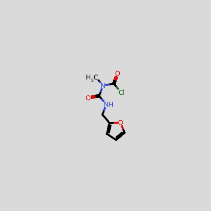 CN(C(=O)Cl)C(=O)NCc1ccco1